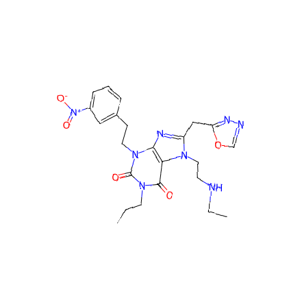 CCCn1c(=O)c2c(nc(Cc3nnco3)n2CCNCC)n(CCc2cccc([N+](=O)[O-])c2)c1=O